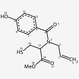 C=CCN(C(=O)c1ccc(O)cc1)C(CS)C(=O)OC